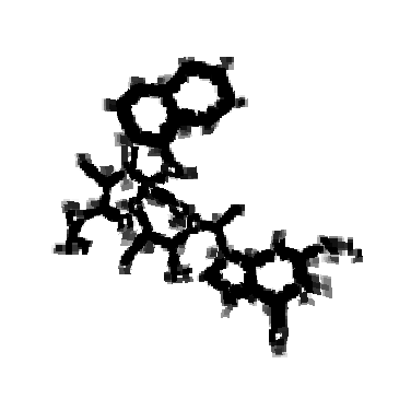 CC[C@H](OC(C)n1cnc2c(=O)[nH]c(N)nc21)C(C)OP(=O)(NC(C)C(=O)OC(C)C)Oc1cccc2ccccc12